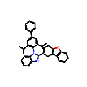 CC(C)c1cc(-c2ccccc2)cc(C(C)C)c1N1c2ccccc2NC1C1=CCC2OC3=C(C=CCC3)C2C1